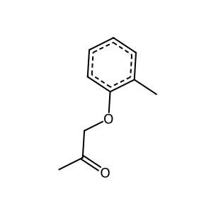 CC(=O)COc1ccccc1C